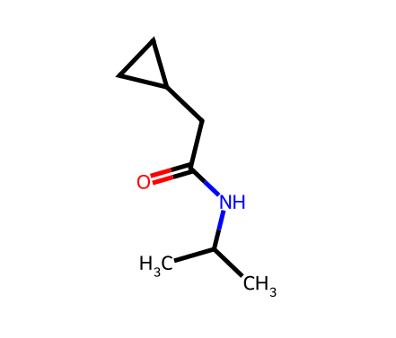 CC(C)NC(=O)CC1CC1